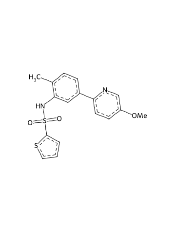 COc1ccc(-c2ccc(C)c(NS(=O)(=O)c3cccs3)c2)nc1